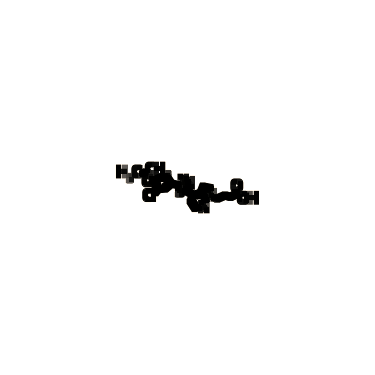 CC(C)Oc1ccc(-c2nnc(-c3ccnc4c3ccn4CCCC(=O)O)s2)cc1Cl